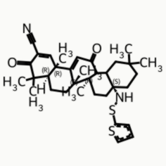 CC1(C)CC[C@]2(NSc3cccs3)CC[C@]3(C)C(C(=O)C=C4[C@@]5(C)C=C(C#N)C(=O)C(C)(C)[C@@H]5CC[C@]43C)C2C1